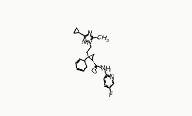 Cc1nc(C2CC2)nn1CC[C@@]1(C2C=CC=CC2)C[C@H]1C(=O)Nc1ccc(F)cn1